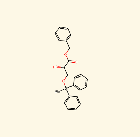 CC(C)(C)[Si](OC[C@@H](O)C(=O)OCc1ccccc1)(c1ccccc1)c1ccccc1